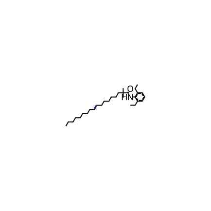 CCCCCCCC/C=C/CCCCCCC(C)(C)C(=O)Nc1c(CC)cccc1CC